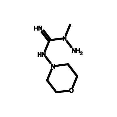 CN(N)C(=N)NN1CCOCC1